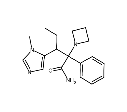 CCC(c1cncn1C)C(C(N)=O)(c1ccccc1)N1CCC1